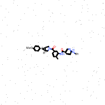 COc1ccc([C@@H]2C3CN(C(=O)c4ccc(C)c(NC(=O)c5ccc(NC(C)C)nc5)c4)C[C@H]32)cc1